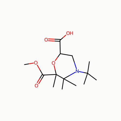 COC(=O)C1(C)OC(C(=O)O)CN(C(C)(C)C)C1(C)C